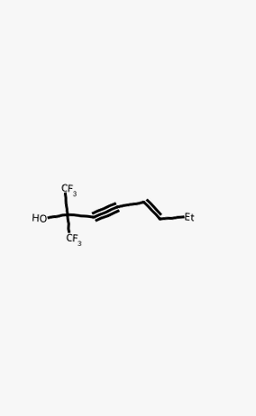 CCC=CC#CC(O)(C(F)(F)F)C(F)(F)F